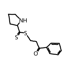 O=C(CCSC(=S)C1CCCN1)c1ccccc1